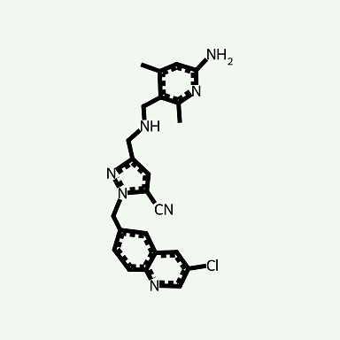 Cc1cc(N)nc(C)c1CNCc1cc(C#N)n(Cc2ccc3ncc(Cl)cc3c2)n1